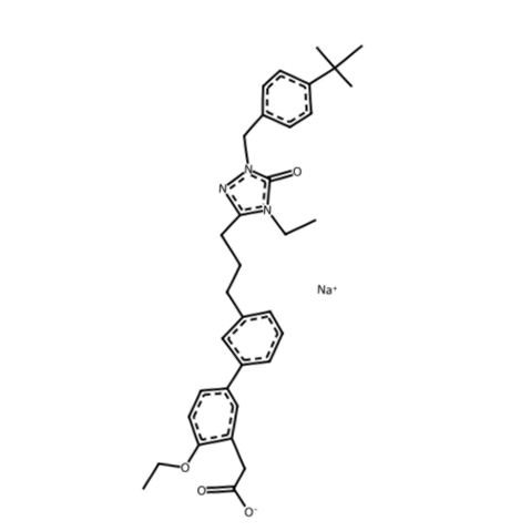 CCOc1ccc(-c2cccc(CCCc3nn(Cc4ccc(C(C)(C)C)cc4)c(=O)n3CC)c2)cc1CC(=O)[O-].[Na+]